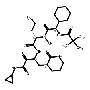 CCC[C@@H](C(=O)N[C@@H](C[C@@H]1CCCNC1=O)C(=O)C(=O)NC1CC1)N(C)C(=O)[C@H](NC(=O)C(C)(C)C)C1CCCCC1